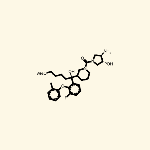 COCCCC[C@@](O)(c1cccc(F)c1Oc1ccccc1C)C1CCCN(C(=O)N2C[C@@H](N)[C@H](O)C2)C1